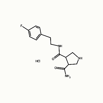 Cl.NC(=O)C1CNCC1C(=O)NCCc1ccc(F)cc1